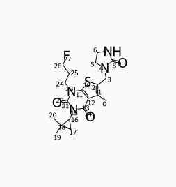 Cc1c(CN2CCNC2=O)sc2c1c(=O)n(C1CC1(C)C)c(=O)n2CCCF